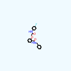 O=C(COc1ccccc1C(=O)NCc1ccccc1)Nc1ccc(F)cc1